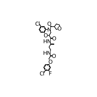 C=C(CCNC(=O)COc1ccc(Cl)c(F)c1)NC(=O)C1CN(C(=O)C2CCOC2)c2cc(Cl)ccc2O1